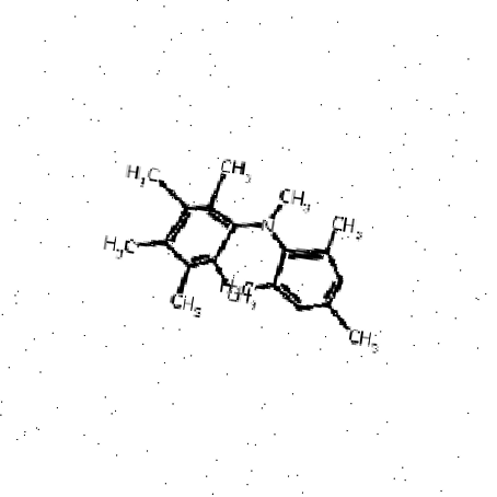 Cc1cc(C)c(N(C)c2c(C)c(C)c(C)c(C)c2C)c(C)c1